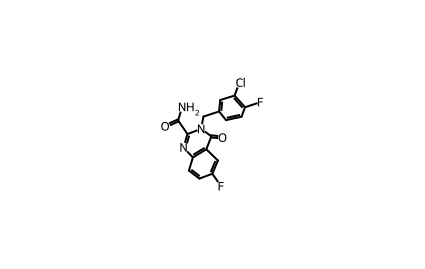 NC(=O)c1nc2ccc(F)cc2c(=O)n1Cc1ccc(F)c(Cl)c1